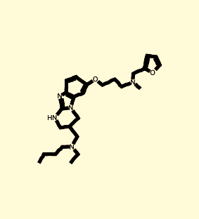 CCCCN(CC)CC1CNc2nc3ccc(OCCCN(C)Cc4ccco4)cc3n2C1